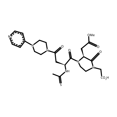 COC(=O)C[C@H]1C(=O)N(CC(=O)O)CCN1C(=O)[C@H](CC(=O)N1CCN(c2ccncc2)CC1)NC(C)=S